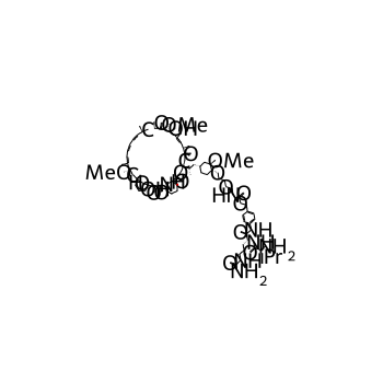 CO[C@H]1C[C@@H]2CC[C@@H](C)[C@@](O)(O2)C(=O)C(=O)N2CCCC[C@H]2C(=O)O[C@H]([C@@H](C)C[C@H]2CC[C@@H](OCCOCNC(=O)OCc3ccc(NC(=O)[C@@H](CCCNC(N)=O)NC(=O)[C@H](N)C(C)C)cc3)[C@H](OC)C2)CC(=O)[C@H](C)C=C(C)[C@@H](O)[C@@H](OC)C(=O)[C@H](C)C[C@H](C)C=CC=CC=C1C